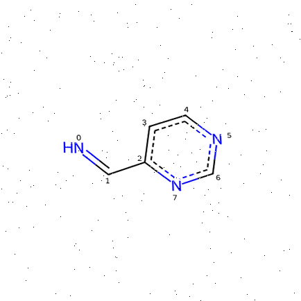 N=Cc1ccncn1